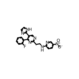 O=[N+]([O-])c1ccc(NC[CH]c2ncc(-c3ncc[nH]3)c(-c3ccccc3F)n2)nc1